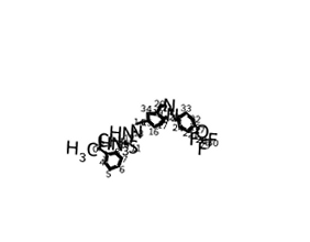 CC(C)c1ccccc1NC(=S)N/N=C/c1ccc2c(cnn2-c2ccc(OC(F)(F)F)cc2)c1